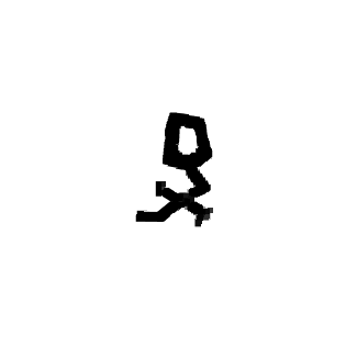 CC[Si](F)(F)Cc1ccccc1